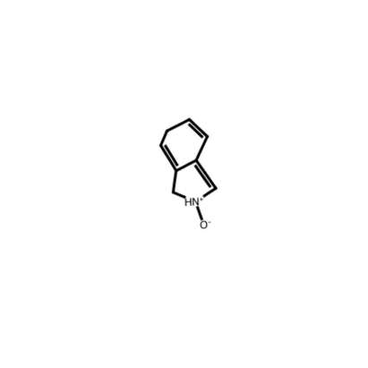 [O-][NH+]1C=C2C=CCC=C2C1